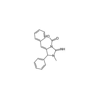 CN1C(=N)N(C(=O)O)/C(=C\c2ccccc2)C1c1ccccc1